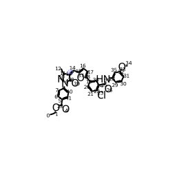 CCOC(=O)c1ccc(N2N=C(C)/C(=C/c3ccc(-c4ccc(Cl)c(C(=O)Nc5cccc(OC)c5)c4)o3)C2=O)cc1